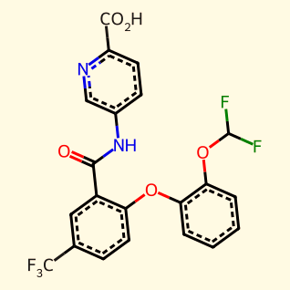 O=C(O)c1ccc(NC(=O)c2cc(C(F)(F)F)ccc2Oc2ccccc2OC(F)F)cn1